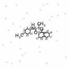 Cc1ccc(NC(=O)C(C)Oc2cccc3ccccc23)cc1